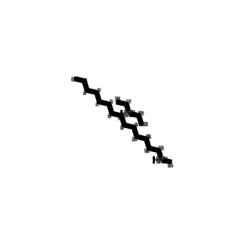 CCCCCCCCCCCCCCNC.CCNCC